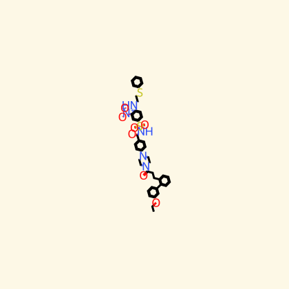 CCOc1cccc(-c2ccccc2CCC(=O)N2CCN(c3ccc(C(=O)NS(=O)(=O)c4ccc(NCCSc5ccccc5)c([N+](=O)[O-])c4)cc3)CC2)c1